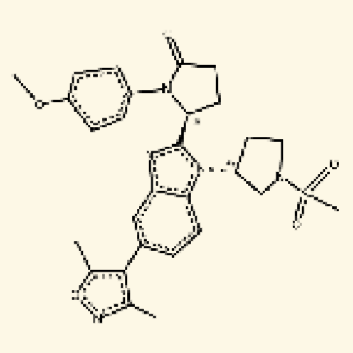 COc1ccc(N2C(=O)CC[C@H]2c2nc3cc(-c4c(C)noc4C)ccc3n2[C@@H]2CCN(S(C)(=O)=O)C2)cc1